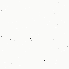 CC1CC2COC(C)C2O1